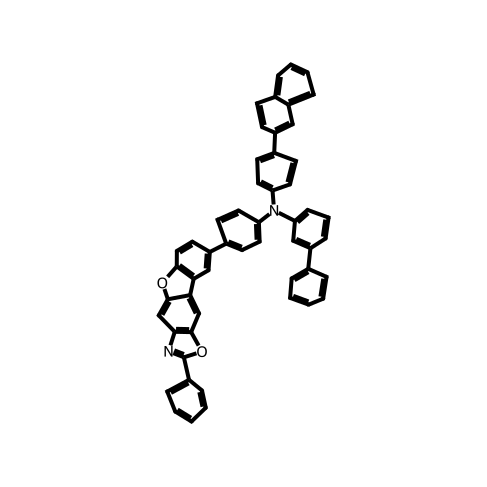 c1ccc(-c2cccc(N(c3ccc(-c4ccc5ccccc5c4)cc3)c3ccc(-c4ccc5oc6cc7nc(-c8ccccc8)oc7cc6c5c4)cc3)c2)cc1